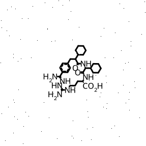 N=C(N)NCCC[C@H](NC(=O)[C@@H](NC(=O)C(Cc1ccc(C(=N)N)cc1)C1CCCCC1)C1CCCCC1)C(=O)O